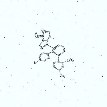 Cc1ccc(-c2cccc(-n3ncc4c(=O)[nH]cnc43)c2-c2ccc(Br)cc2)c(C)c1